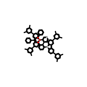 Cc1cc(C)cc(-c2ccc3c(c2)c2cc(-c4cc(C)cc(C)c4)ccc2n3-c2cnccc2-c2c(-c3nc(-c4ccccc4)nc(-c4ccccc4)n3)cccc2-n2c3ccc(-c4cc(C)cc(C)c4)cc3c3cc(-c4cc(C)cc(C)c4)ccc32)c1